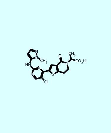 CC(C(=O)O)N1CCc2sc(-c3nc(Nc4ccnn4C)ncc3Cl)cc2C1=O